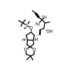 [2H]C([2H])(C#CC)C(C)[C@H](O)/C=C/[C@@H]1[C@H]2CC3(C[C@H]2C[C@H]1O[Si](C)(C)C(C)(C)C)OCC(C)(C)CO3